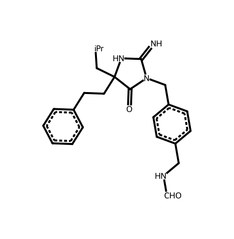 CC(C)CC1(CCc2ccccc2)NC(=N)N(Cc2ccc(CNC=O)cc2)C1=O